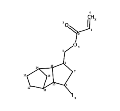 C=CC(=O)OCC1CC(I)C2C3CCC(C3)C12